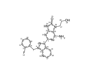 Nc1nc(-c2nn(Cc3ccccc3F)c3ncccc23)nc2[nH]c(=O)n(CCO)c12